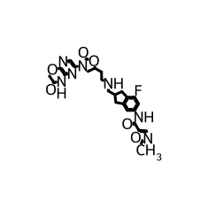 Cc1ncc(C(=O)Nc2cc(F)c3c(c2)CC(CNCCC2CN(c4cnc5c(n4)NC(=O)CO5)C(=O)O2)C3)o1